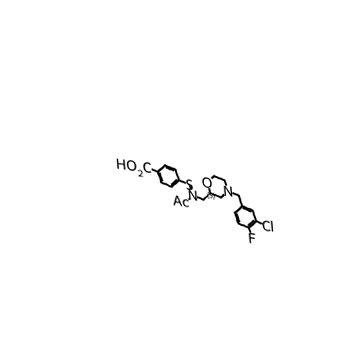 CC(=O)N(C[C@@H]1CN(Cc2ccc(F)c(Cl)c2)CCO1)Sc1ccc(C(=O)O)cc1